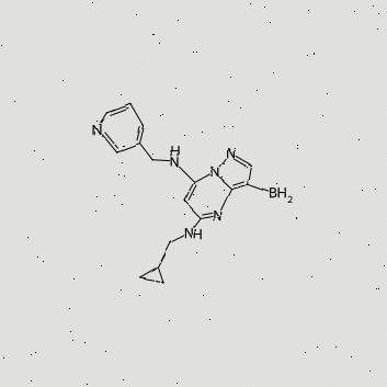 Bc1cnn2c(NCc3cccnc3)cc(NCC3CC3)nc12